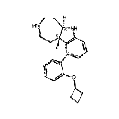 c1ccc(-c2cccc3c2[C@@H]2CCNCC[C@H]2N3)c(OC2CCC2)c1